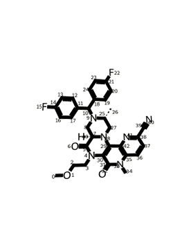 COCCN1C(=O)[C@H]2CN(C(c3ccc(F)cc3)c3ccc(F)cc3)[C@H](C)CN2c2c1c(=O)n(C)c1ccc(C#N)nc21